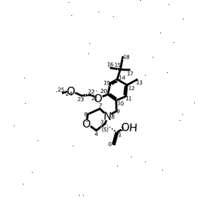 C=C(O)[C@@H]1COCCN1Cc1cc(C)c(C(C)(C)C)cc1OCCOC